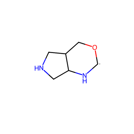 [CH]1NC2CNCC2CO1